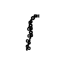 C=CC(=O)OCCOC(=O)CCCC(=O)Oc1ccc(C(=O)Oc2ccc(OOCc3ccc(O)cc3)cc2C)cc1